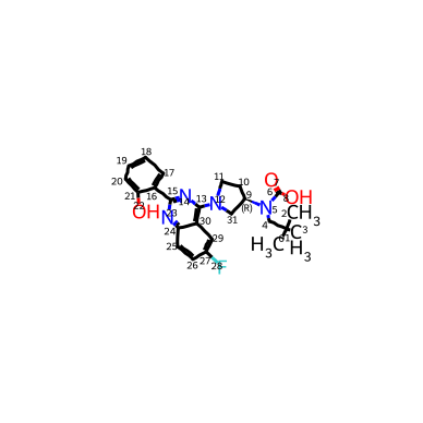 CC(C)(C)CN(C(=O)O)[C@@H]1CCN(c2nc(-c3ccccc3O)nc3ccc(F)cc23)C1